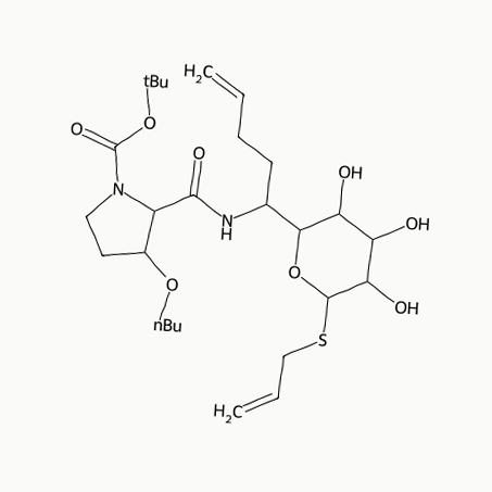 C=CCCC(NC(=O)C1C(OCCCC)CCN1C(=O)OC(C)(C)C)C1OC(SCC=C)C(O)C(O)C1O